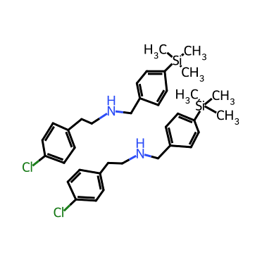 C[Si](C)(C)c1ccc(CNCCc2ccc(Cl)cc2)cc1.C[Si](C)(C)c1ccc(CNCCc2ccc(Cl)cc2)cc1